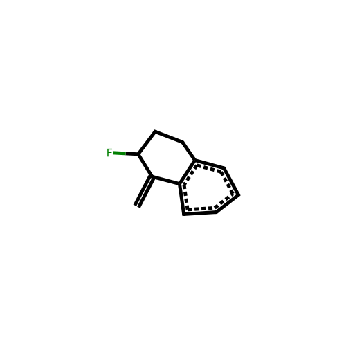 C=C1c2ccccc2CCC1F